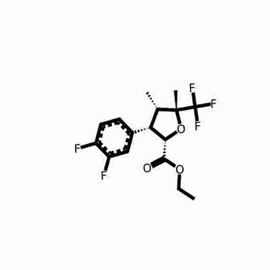 CCOC(=O)[C@H]1O[C@@](C)(C(F)(F)F)[C@@H](C)[C@H]1c1ccc(F)c(F)c1